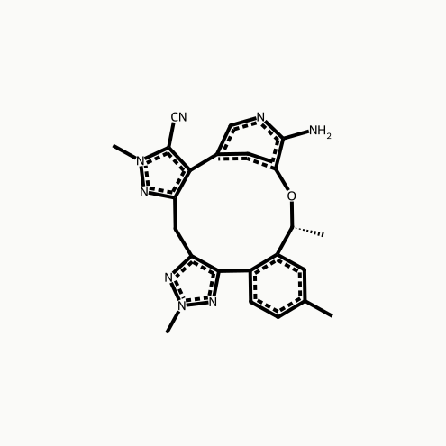 Cc1ccc2c(c1)[C@@H](C)Oc1cc(cnc1N)-c1c(nn(C)c1C#N)Cc1nn(C)nc1-2